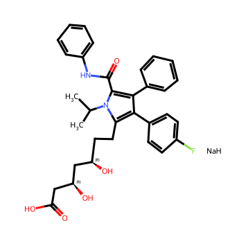 CC(C)n1c(CC[C@@H](O)C[C@@H](O)CC(=O)O)c(-c2ccc(F)cc2)c(-c2ccccc2)c1C(=O)Nc1ccccc1.[NaH]